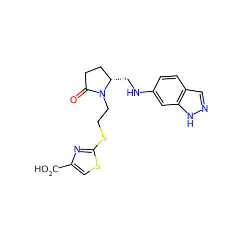 O=C(O)c1csc(SCCN2C(=O)CC[C@@H]2CNc2ccc3cn[nH]c3c2)n1